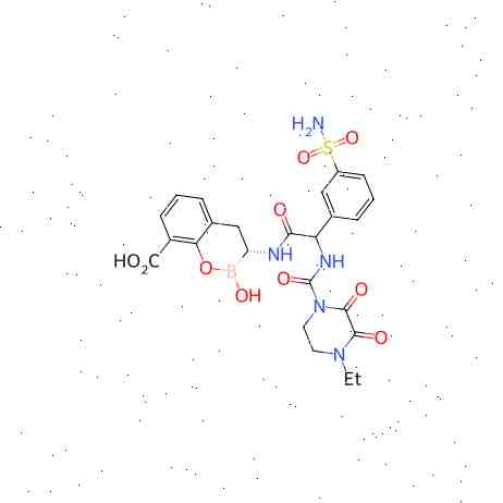 CCN1CCN(C(=O)NC(C(=O)N[C@H]2Cc3cccc(C(=O)O)c3OB2O)c2cccc(S(N)(=O)=O)c2)C(=O)C1=O